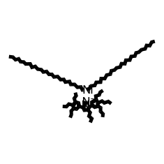 CCCCC1=C(c2cc(CCCC)c(CCCC)c(CCCC)c2)[N+](=[N-])C(c2cc(CCC)c(CCC)c(CCC)c2)=C1.CCCCCCCCCCCCCCCCCCCCCCCCCC[CH2][Ni][CH2]CCCCCCCCCCCCCCCCCCCCCCCCCC